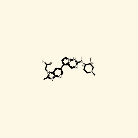 Cc1nc2ncc(-c3ccn4nc(N[C@@H]5CCN(C)C[C@H]5F)ncc34)cc2n1CC(F)F